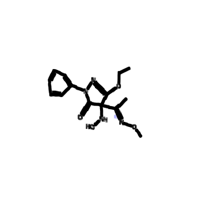 CCOC1=NN(c2ccccc2)C(=O)C1(NO)/C(C)=N/OC